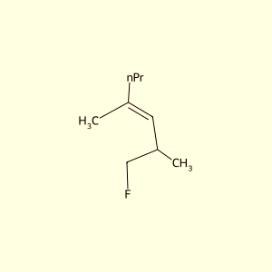 CCCC(C)=CC(C)CF